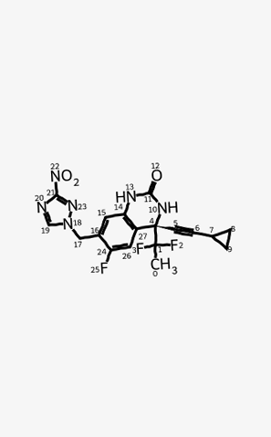 CC(F)(F)[C@@]1(C#CC2CC2)NC(=O)Nc2cc(Cn3cnc([N+](=O)[O-])n3)c(F)cc21